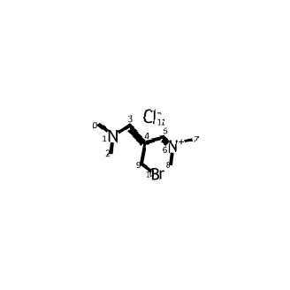 CN(C)C=C(C=[N+](C)C)CBr.[Cl-]